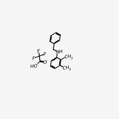 Cc1cccc(NCc2ccccc2)c1C.O=C(O)C(F)(F)F